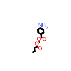 CCCC(=O)OCOC(=O)c1ccc(N)cc1